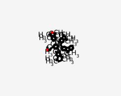 Cc1cc2c(cc1N1c3cc4c(cc3B3c5cc6c(cc5N(c5cc7c(cc5C)C(C)(C)CCC7(C)C)c5cc(-c7ccccc7)cc1c53)C(C)(C)c1ccccc1-6)C(C)(C)CC4(C)C)C(C)(C)CCC2(C)C